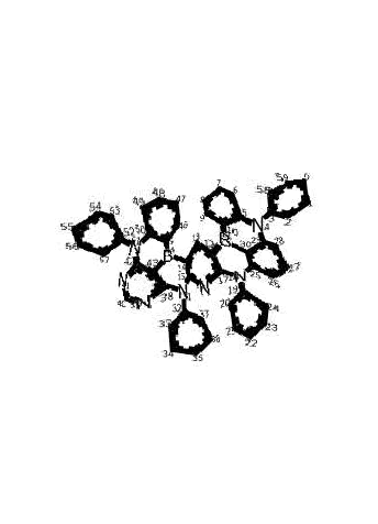 c1ccc(N2c3ccccc3B3c4cc5c(nc4N(c4ccccc4)c4cccc2c43)N(c2ccccc2)c2ncnc3c2B5c2ccccc2N3c2ccccc2)cc1